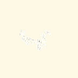 C=CC(=O)N1CCCC(n2nc(-c3ccc(C(=O)Nc4cc(C(F)(F)F)ccn4)cc3)c3cncc(Cl)c32)C1